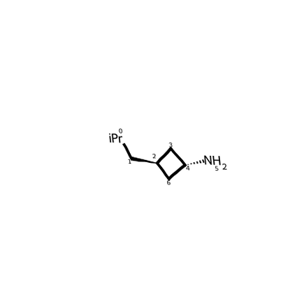 CC(C)C[C@H]1C[C@H](N)C1